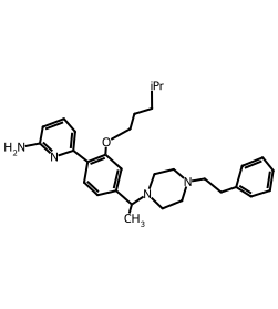 CC(C)CCCOc1cc(C(C)N2CCN(CCc3ccccc3)CC2)ccc1-c1cccc(N)n1